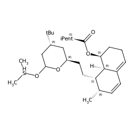 CCC[C@H](C)C(=O)O[C@H]1CCC=C2C=C[C@H](C)[C@H](CC[C@@H]3C[C@@H](C(C)(C)C)CC(O[SiH](C)C)O3)[C@H]21